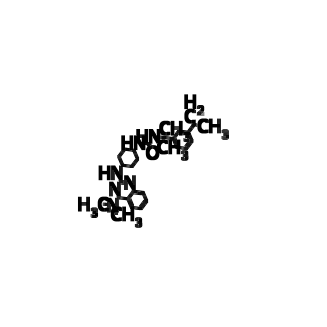 C=C(C)c1cccc(C(C)(C)NC(=O)N[C@H]2CC[C@@H](Nc3nc(N(C)C)c4ccccc4n3)CC2)c1